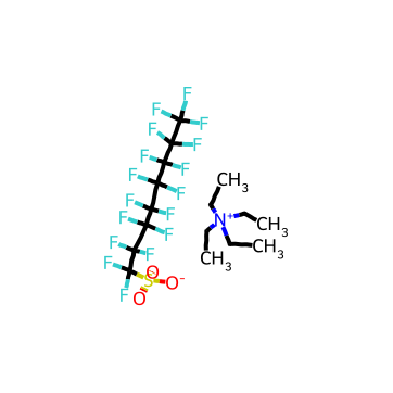 CC[N+](CC)(CC)CC.O=S(=O)([O-])C(F)(F)C(F)(F)C(F)(F)C(F)(F)C(F)(F)C(F)(F)C(F)(F)C(F)(F)F